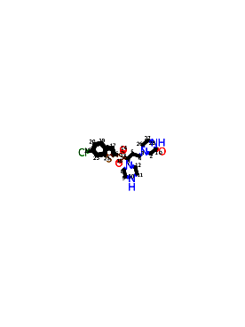 O=C1CN(CCC(N2CCNCC2)S(=O)(=O)c2cc3ccc(Cl)cc3s2)CCN1